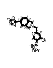 CCCNOc1coc(CN2Cc3ccc(-c4nnco4)cc3C2)cc1=O